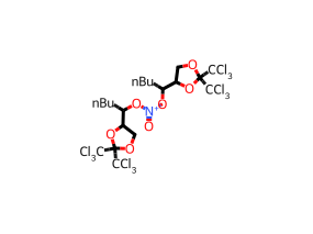 CCCCC(O[N+](=O)OC(CCCC)C1COC(C(Cl)(Cl)Cl)(C(Cl)(Cl)Cl)O1)C1COC(C(Cl)(Cl)Cl)(C(Cl)(Cl)Cl)O1